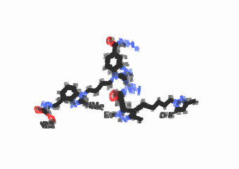 CCn1nc(C)c(CCCCCn2nc(C)cc2C=O)c1C(=O)Nc1nc2cc(C(N)=O)ccc2n1CCCCn1c(NC)nc2c(CNC(=O)OC(C)(C)C)cccc21